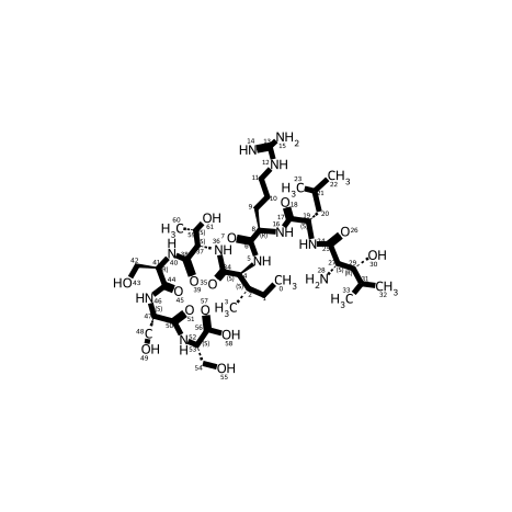 CC[C@H](C)[C@H](NC(=O)[C@@H](CCCNC(=N)N)NC(=O)[C@H](CC(C)C)NC(=O)[C@@H](N)[C@H](O)C(C)C)C(=O)N[C@H](C(=O)N[C@H](CO)C(=O)N[C@@H](CO)C(=O)N[C@@H](CO)C(=O)O)[C@H](C)O